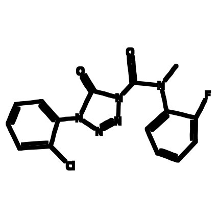 CN(C(=O)n1nnn(-c2ccccc2Cl)c1=O)c1ccccc1F